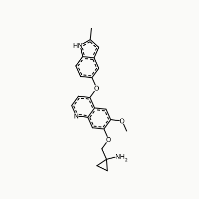 COc1cc2c(Oc3ccc4[nH]c(C)cc4c3)ccnc2cc1OCC1(N)CC1